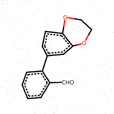 O=Cc1ccccc1-c1ccc2c(c1)OCCO2